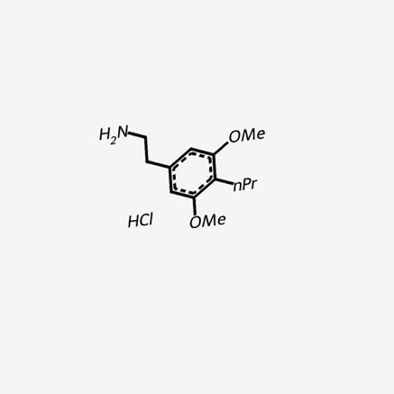 CCCc1c(OC)cc(CCN)cc1OC.Cl